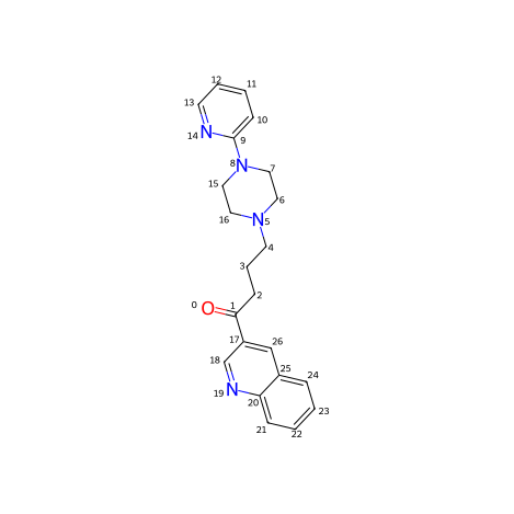 O=C(CCCN1CCN(c2ccccn2)CC1)c1cnc2ccccc2c1